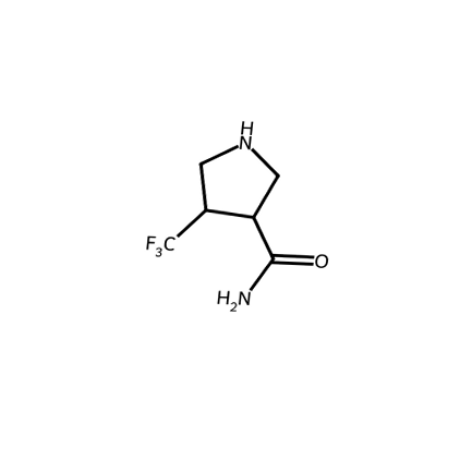 NC(=O)C1CNCC1C(F)(F)F